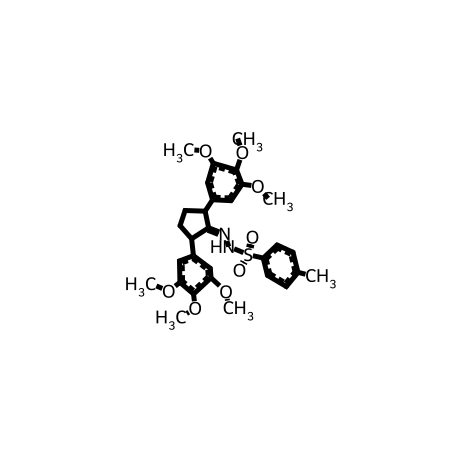 COc1cc(C2CCC(c3cc(OC)c(OC)c(OC)c3)C2=NNS(=O)(=O)c2ccc(C)cc2)cc(OC)c1OC